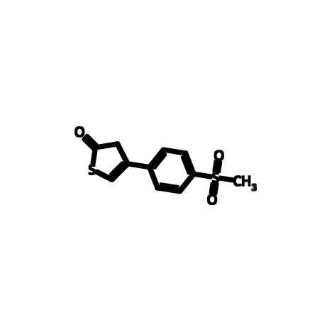 CS(=O)(=O)c1ccc(C2=CSC(=O)C2)cc1